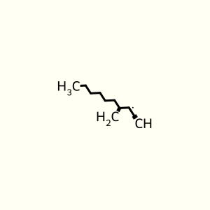 C#C[CH]C(=C)CCCCCC